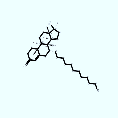 C[C@]12CCC(=O)C=C1C[C@@H](CCCCCCCCCCCBr)[C@@H]1[C@@H]2CC[C@@]2(C)[C@H]1CC[C@]2(C)O